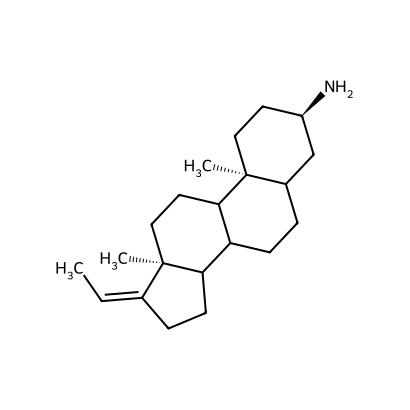 C/C=C1/CCC2C3CCC4C[C@H](N)CC[C@]4(C)C3CC[C@]12C